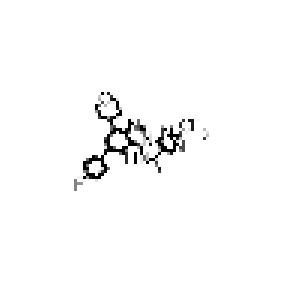 C[C@@H](Nc1ncnc2c(C3CCOCC3)cc(-c3ccc(F)cc3)cc12)c1cnc(C(F)(F)F)nc1